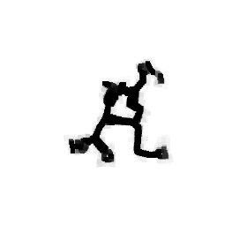 Cc1cc(CCl)c(C(=O)O)cn1